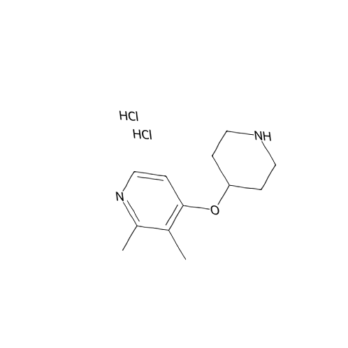 Cc1nccc(OC2CCNCC2)c1C.Cl.Cl